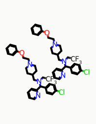 FC(F)(F)CN(CC1CCN(CCOc2ccccc2)CC1)C(c1ccc(Cl)cc1)c1ccccn1.FC(F)(F)CN(CC1CCN(CCOc2ccccc2)CC1)C(c1ccc(Cl)cc1)c1ccccn1